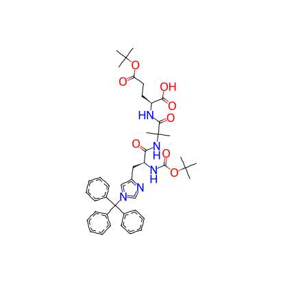 CC(C)(C)OC(=O)CC[C@H](NC(=O)C(C)(C)NC(=O)[C@H](Cc1cn(C(c2ccccc2)(c2ccccc2)c2ccccc2)cn1)NC(=O)OC(C)(C)C)C(=O)O